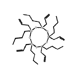 C=CC[Si]1(CCCC)O[Si](CC=C)(CCCC)O[Si](CC=C)(CCCC)O[Si](CC=C)(CCCC)O[Si](CC=C)(CCCC)O1